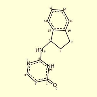 O=c1ccnc(NC2CCc3ccccc32)[nH]1